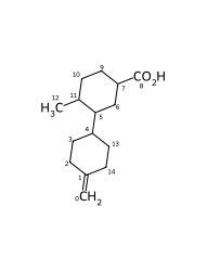 C=C1CCC(C2CC(C(=O)O)CCC2C)CC1